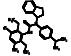 CCc1c(N)cc(Cl)c(CC)c1NC(=O)N(c1ccc(C(C)C)cc1)C1CCc2ccccc21